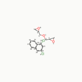 C(OCC1CO1)C1CO1.Clc1cc(Cl)c2ccccc2c1